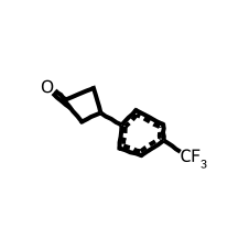 O=C1CC(c2ccc(C(F)(F)F)cc2)C1